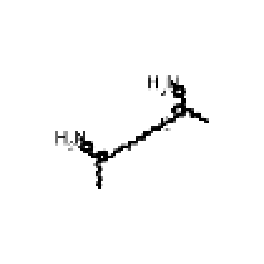 CCCCCCc1cc(CCCCCCCCCCCCCCCCCc2ccc(Cc3ccc(N)cc3)c(CCCCCC)c2)ccc1Cc1ccc(N)cc1